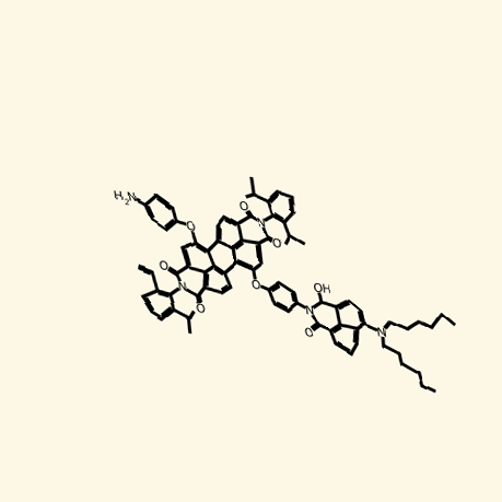 C=Cc1cccc(C(C)C)c1N1C(=O)c2ccc3c4c(Oc5ccc(N6C(=O)c7cccc8c(N(CCCCCC)CCCCCC)ccc(c78)C6O)cc5)cc5c6c(ccc(c7c(Oc8ccc(N)cc8)cc(c2c37)C1=O)c64)C(=O)N(c1c(C(C)C)cccc1C(C)C)C5=O